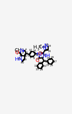 COc1ncc(-c2ccc(NC(=O)C(NC(=O)c3ccnn3C)C(c3ccccc3)c3ccccc3)cc2)c2cc[nH]c12